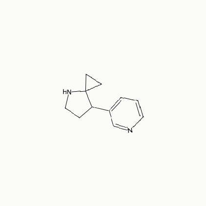 c1cncc(C2CCNC23CC3)c1